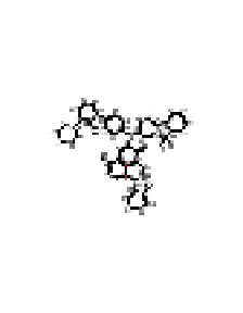 C=C(/C(=C\c1ccccc1C)N(c1ccc2c(c1)C(C)(C)c1ccccc1-2)c1ccc2c(c1)oc1c(C3CCCCC3)cccc12)c1ccc2c(c1)oc1ccccc12